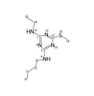 CCCCNc1nc(NCC)nc(SC)n1